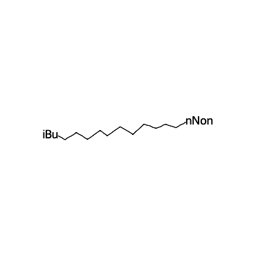 [CH2]CCCCCCCCCCCCCCCCCCCC(C)C[CH2]